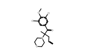 C=CCC(C)(C(=O)c1cc(Cl)c(OC)c(Cl)c1)N1CCOCC1